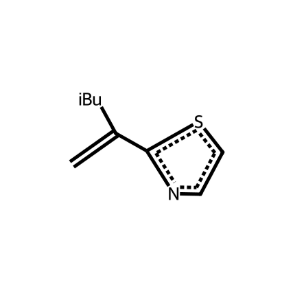 C=C(c1nccs1)C(C)CC